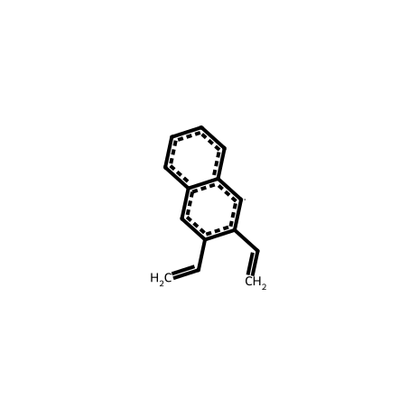 C=Cc1[c]c2ccccc2cc1C=C